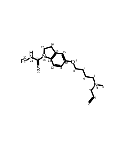 C=CCN(C)CCCCOc1ccc2c(c1)CCN2C(=S)NCC